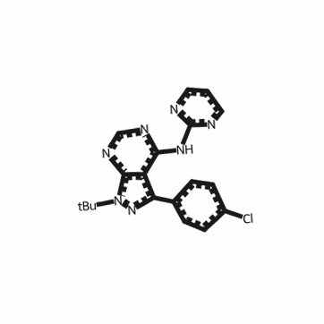 CC(C)(C)n1nc(-c2ccc(Cl)cc2)c2c(Nc3ncccn3)ncnc21